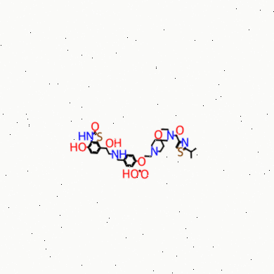 CC(C)c1nc(C(=O)N2CCOC3(CCN(CCOc4ccc(CNC[C@H](O)c5ccc(O)c6[nH]c(=O)sc56)cc4)CC3)C2)cs1.O=CO